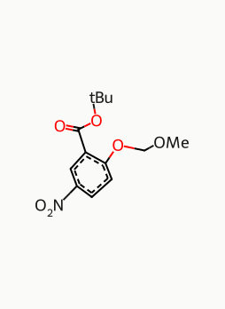 COCOc1ccc([N+](=O)[O-])cc1C(=O)OC(C)(C)C